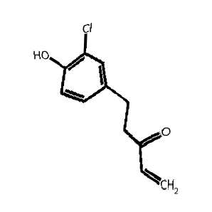 C=CC(=O)CCc1ccc(O)c(Cl)c1